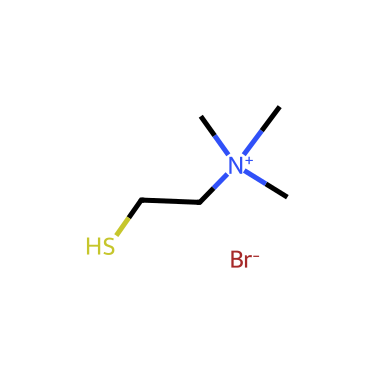 C[N+](C)(C)CCS.[Br-]